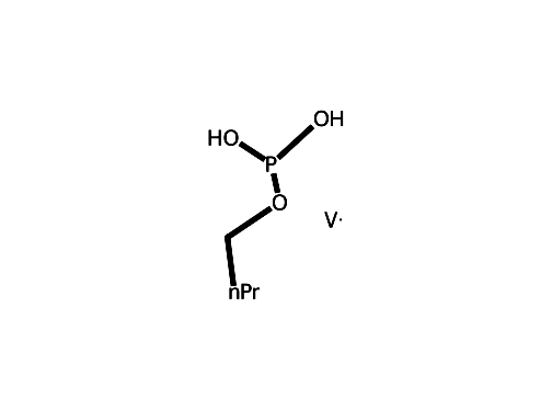 CCCCOP(O)O.[V]